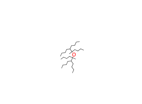 CCCCC(CCCC)C(C)(CCCC)OC(C)(CCCC)C(CCCC)CCCC